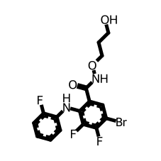 O=C(NOCCCO)c1cc(Br)c(F)c(F)c1Nc1ccccc1F